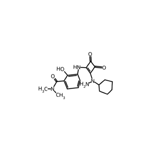 CN(C)C(=O)c1cccc(Nc2c(N(N)C3CCCCC3)c(=O)c2=O)c1O